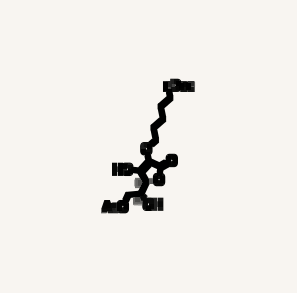 CCCCCCCCCCCCCCCOC1=C(O)[C@@H]([C@@H](O)COC(C)=O)OC1=O